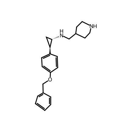 c1ccc(COc2ccc([C@H]3C[C@@H]3NCC3CCNCC3)cc2)cc1